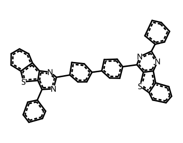 c1ccc(-c2nc(-c3ccc(-c4ccc(-c5nc(-c6ccccc6)c6sc7ccccc7c6n5)cc4)cc3)c3sc4ccccc4c3n2)cc1